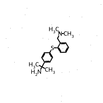 CN(C)Cc1ccccc1Sc1ccc(C(C)(C)N)cc1